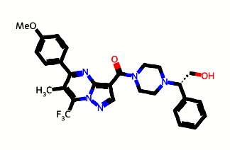 COc1ccc(-c2nc3c(C(=O)N4CCN([C@H](CO)c5ccccc5)CC4)cnn3c(C(F)(F)F)c2C)cc1